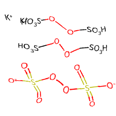 O=S(=O)(O)OOS(=O)(=O)O.O=S(=O)(O)OOS(=O)(=O)O.O=S(=O)([O-])OOS(=O)(=O)[O-].[K+].[K+]